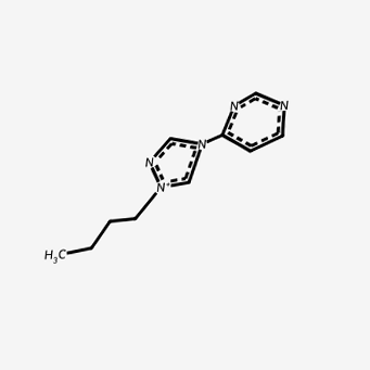 CCCC[n+]1cn(-c2ccncn2)cn1